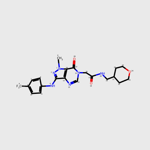 Cn1nc(Nc2ccc(C(F)(F)F)cc2)c2ncn(CC(=O)NCC3CCOCC3)c(=O)c21